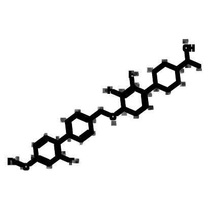 CCOc1ccc(-c2ccc(COC3CC=C(C4CCC(C(C)O)CC4)C(F)=C3F)cc2)c(F)c1